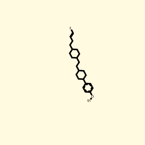 CCOc1ccc(C2CCC(CCC3CCC(CC/C=C/F)CC3)CC2)cc1